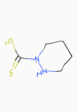 S=C(S)N1CCCCN1